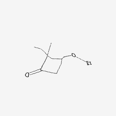 CCOC1CC(=O)C1(C)C